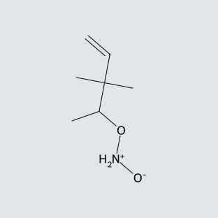 C=CC(C)(C)C(C)O[NH2+][O-]